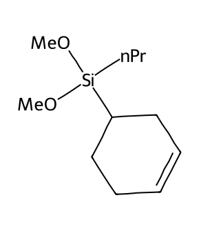 CCC[Si](OC)(OC)C1CC=CCC1